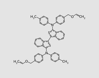 C=COCc1ccc(N(c2ccc(C)cc2)c2sc(-c3sc(N(c4ccc(C)cc4)c4ccc(COC=C)cc4)c4ccccc34)c3ccccc23)cc1